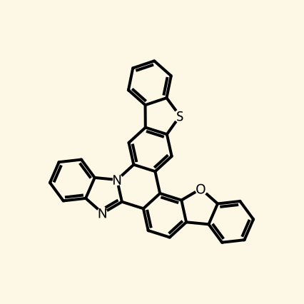 c1ccc2c(c1)nc1c3ccc4c5ccccc5oc4c3c3cc4sc5ccccc5c4cc3n21